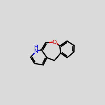 C1=CNC2=COc3ccccc3CC2=C1